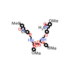 COc1ccc(OCC(CNCCCOc2ccc(-c3cc4ccc(OC)cc4c(=O)n3C)cc2)OC(=O)C(=O)OC(CNCCCOc2ccc(-c3cc4ccc(OC)cc4c(=O)n3C)cc2)COc2ccc(OC)cc2)cc1